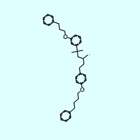 [CH2]C(CCc1ccc(OCCCCc2ccccc2)cc1)CC(C)(C)c1cccc(OCCCc2ccccc2)c1